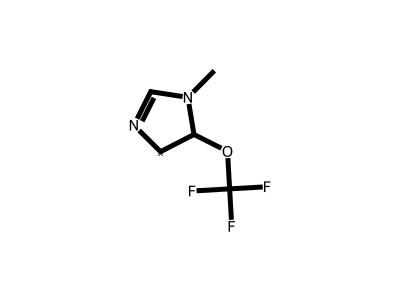 CN1C=N[C]C1OC(F)(F)F